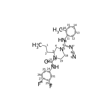 CCCC1CN(/C(=N\C#N)Nc2ccccc2C)CCN1C(=O)Nc1ccc(F)c(F)c1